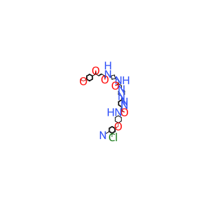 COc1ccc(C(=O)/C=C/C(=O)N[C@H]2C[C@H](NC(=O)CN3CCN(c4ccc(C(=O)N[C@H]5CC[C@H](Oc6ccc(C#N)c(Cl)c6)CC5)nn4)CC3)C2)cc1